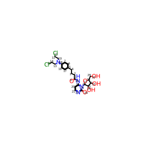 O=C(CCCc1ccc(N(CCCl)CCCl)cc1)Nc1ccnc(=O)n1C1OC(CO)C(O)C1O